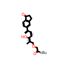 C=C(/C=C\C(O)=C(\C)COCC(=O)CCCC)c1ccc2c(c1)CCC2=O